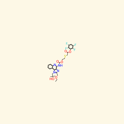 CCOCc1nc2c(NC(=O)OCCSCC(=O)Oc3c(F)c(F)cc(F)c3F)nc3ccccc3c2n1CC(C)(C)O